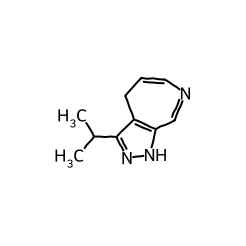 CC(C)c1n[nH]c2c1CC=CN=C2